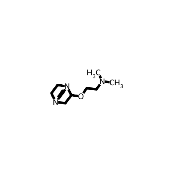 CN(C)CCOC1CN2C=CN1CC2